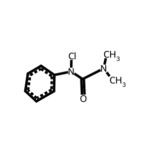 CN(C)C(=O)N(Cl)c1ccccc1